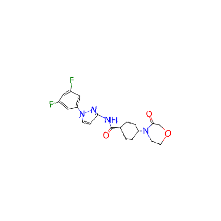 O=C1COCCN1[C@H]1CC[C@H](C(=O)Nc2ccn(-c3cc(F)cc(F)c3)n2)CC1